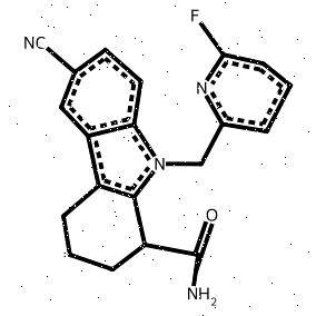 N#Cc1ccc2c(c1)c1c(n2Cc2cccc(F)n2)C(C(N)=O)C[C]C1